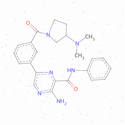 CN(C)C1CCN(C(=O)c2cccc(-c3cnc(N)c(C(=O)Nc4ccccc4)n3)c2)C1